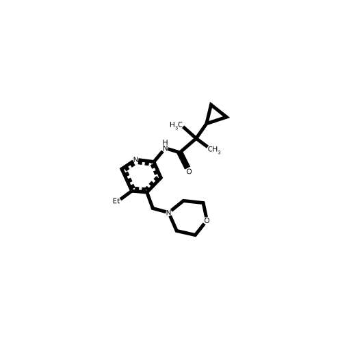 CCc1cnc(NC(=O)C(C)(C)C2CC2)cc1CN1CCOCC1